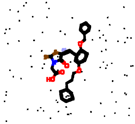 O=C(O)CN1C(=O)/C(=C\c2cc(OCCCc3ccccc3)ccc2OCc2ccccc2)SC1=S